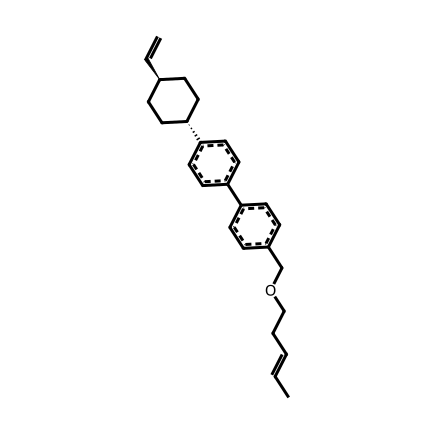 C=C[C@H]1CC[C@H](c2ccc(-c3ccc(COCCC=CC)cc3)cc2)CC1